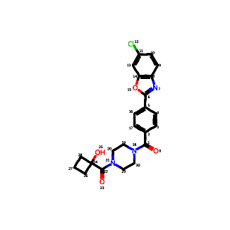 O=C(c1ccc(-c2nc3ccc(Cl)cc3o2)cc1)N1CCN(C(=O)C2(O)CCC2)CC1